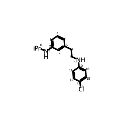 CC(C)Nc1cccc(CCNc2ccc(Cl)cc2)c1